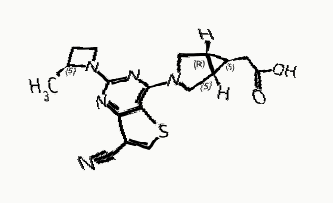 C[C@H]1CCN1c1nc(N2C[C@@H]3[C@@H](CC(=O)O)[C@@H]3C2)c2scc(C#N)c2n1